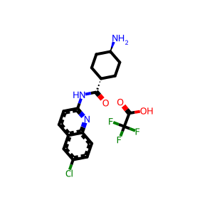 N[C@H]1CC[C@H](C(=O)Nc2ccc3cc(Cl)ccc3n2)CC1.O=C(O)C(F)(F)F